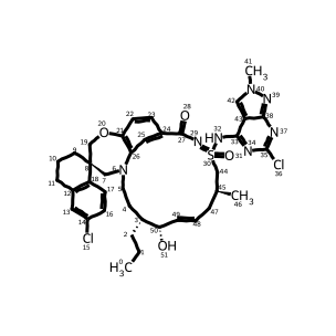 CCC[C@@H]1CCN2C[C@@]3(CCCc4cc(Cl)ccc43)COc3ccc(cc32)C(=O)N=S(=O)(Nc2nc(Cl)nc3nn(C)cc23)C[C@@H](C)C/C=C/[C@@H]1O